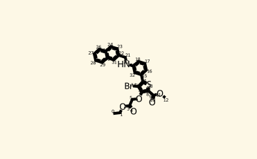 CCOC(=O)COc1c(C(=O)OC)sc(-c2cccc(NCc3ccc4ccccc4c3)c2)c1Br